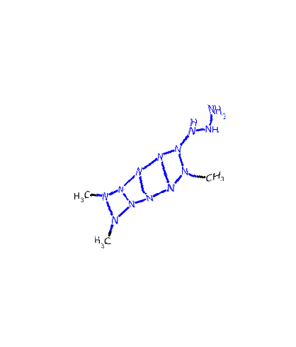 CN1N(C)N2N1N1N3N(C)N(NNN)N3N21